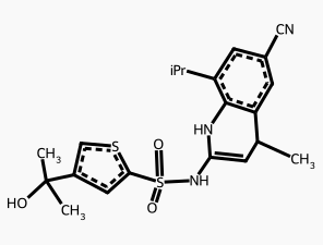 CC(C)c1cc(C#N)cc2c1NC(NS(=O)(=O)c1cc(C(C)(C)O)cs1)=CC2C